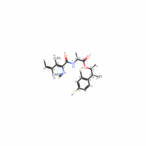 C=N/C(C(=O)N[C@@H](C)C(=O)O[C@@H](C)[C@H](c1ccc(F)cc1C)C(C)C)=C(OC(C)=O)\C(=C/C)OC